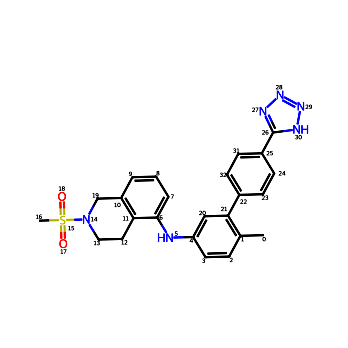 Cc1ccc(Nc2cccc3c2CCN(S(C)(=O)=O)C3)cc1-c1ccc(-c2nnn[nH]2)cc1